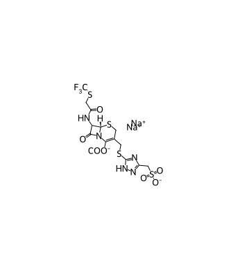 O=C(CSC(F)(F)F)NC1C(=O)N2C(C(=O)[O-])=C(CSc3nc(CS(=O)(=O)[O-])n[nH]3)CS[C@@H]12.[Na+].[Na+]